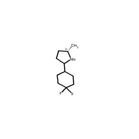 C[C@H]1CCC(C2CCC(F)(F)CC2)N1